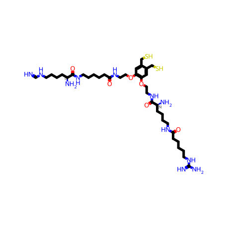 N=CNCCCC[C@H](N)C(=O)NCCCCCC(=O)NCCOc1cc(CS)c(CS)cc1OCCNC(=O)[C@@H](N)CCCCNC(=O)CCCCCNC(=N)N